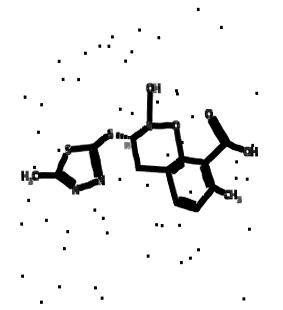 Cc1nnc(S[C@H]2Cc3ccc(C)c(C(=O)O)c3OB2O)s1